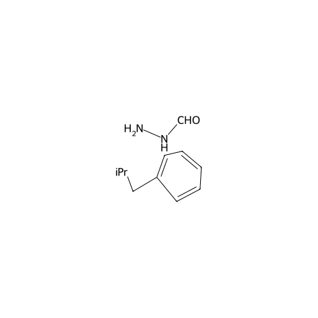 CC(C)Cc1ccccc1.NNC=O